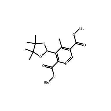 Cc1c(C(=O)OC(C)(C)C)cnc(C(=O)OC(C)(C)C)c1B1OC(C)(C)C(C)(C)O1